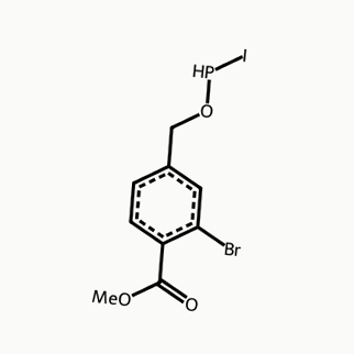 COC(=O)c1ccc(COPI)cc1Br